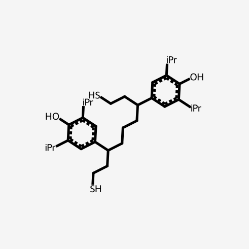 CC(C)c1cc(C(CCS)CCCC(CCS)c2cc(C(C)C)c(O)c(C(C)C)c2)cc(C(C)C)c1O